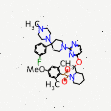 COc1cc(C)c(S(=O)(=O)N2CCCCC2COc2ccnc(N3CCC(c4cccc(F)c4)(N4CCN(C)CC4)CC3)n2)c(C)c1